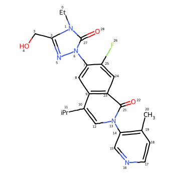 CCn1c(CO)nn(-c2cc3c(C(C)C)cn(-c4cnccc4C)c(=O)c3cc2F)c1=O